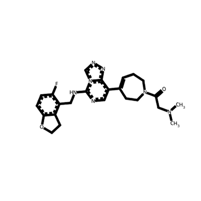 CN(C)CC(=O)N1CCC=C(c2cnc(NCc3c(F)ccc4c3CCO4)n3cnnc23)CC1